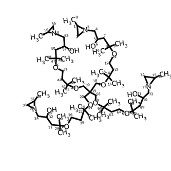 CC1CN1CC(O)CC(C)(C)OCCC(C)(C)OCC(COC(C)(C)CCOC(C)(C)CC(O)CN1CC1C)(COC(C)(C)CCOC(C)(C)CC(O)CN1CC1C)COC(C)(C)CCOC(C)(C)CC(O)CN1CC1C